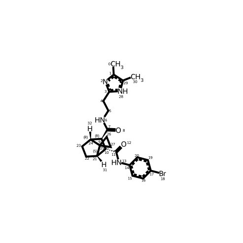 Cc1nc(CCNC(=O)[C@H]2[C@H](C(=O)Nc3ccc(Br)cc3)[C@@H]3CC[C@H]2C32CC2)[nH]c1C